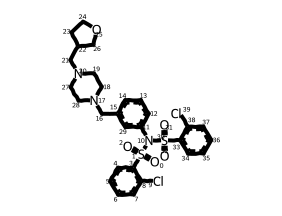 O=S(=O)(c1ccccc1Cl)N(c1cccc(CN2CCN(CC3CCOC3)CC2)c1)S(=O)(=O)c1ccccc1Cl